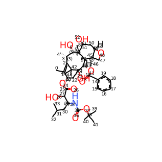 CC1=C2[C@H](C)[C@H](O)[C@@]3(C)[C@H]([C@H](OC(=O)c4ccccc4)[C@](O)(C[C@@H]1OC(=O)C(O)[C@H](CC(C)C)NC(=O)OC(C)(C)C)C2(C)C)[C@]1(C)CO[C@@H]1C[C@@H]3O